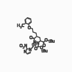 Cc1ccccc1OCCCC(CC(NC(=O)OC(C)(C)C)C(=O)OC(C)(C)C)C(=O)NCCn1ccnc1[N+](=O)[O-]